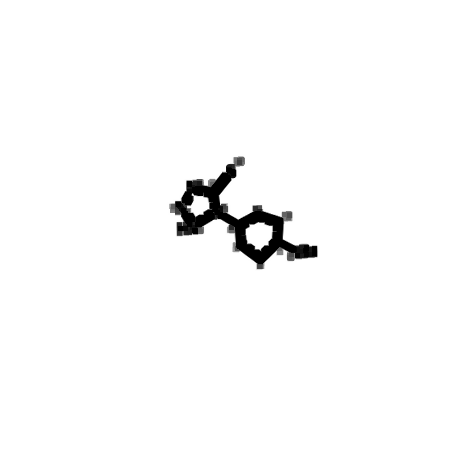 CC(C)(C)c1ccc(-n2[nH]nnc2=S)cc1